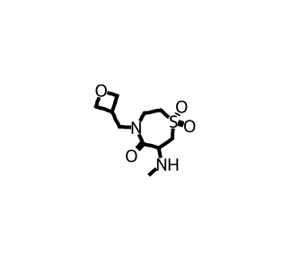 CNC1CS(=O)(=O)CCN(CC2COC2)C1=O